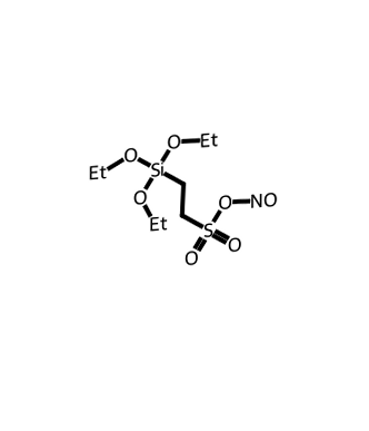 CCO[Si](CCS(=O)(=O)ON=O)(OCC)OCC